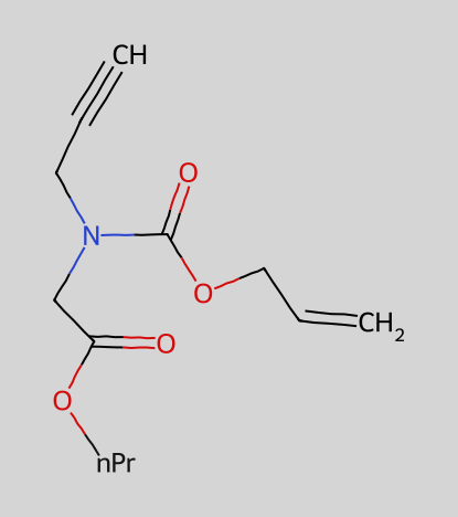 C#CCN(CC(=O)OCCC)C(=O)OCC=C